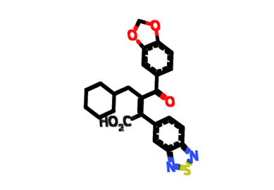 O=C(O)/C(=C(\CC1CCCCC1)C(=O)c1ccc2c(c1)OCO2)c1ccc2nsnc2c1